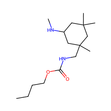 CCCCOC(=O)NCC1(C)CC(NC)CC(C)(C)C1